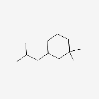 CC(C)CC1CCCC(F)(F)C1